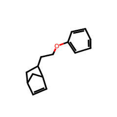 C1=CC2CC1CC2CCOc1ccccc1